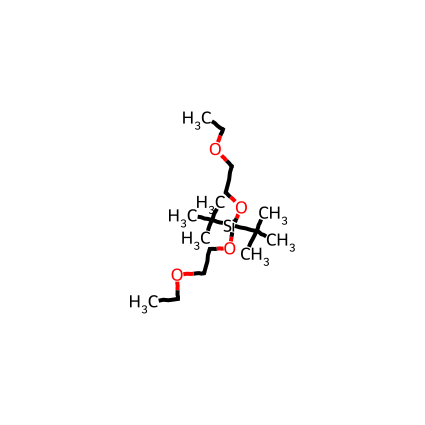 CCOCCO[Si](OCCOCC)(C(C)(C)C)C(C)(C)C